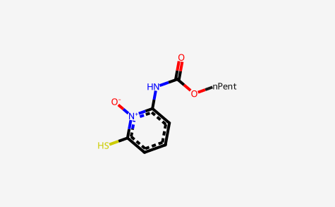 CCCCCOC(=O)Nc1cccc(S)[n+]1[O-]